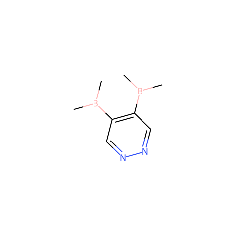 CB(C)c1cnncc1B(C)C